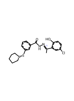 C/C(=N\NC(=O)c1cccc(SN2CCCCC2)c1)c1cc(Cl)ccc1O